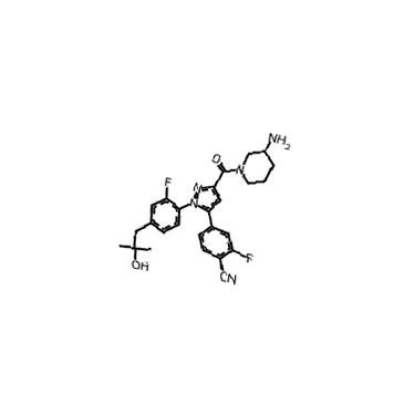 CC(C)(O)Cc1ccc(-n2nc(C(=O)N3CCCC(N)C3)cc2-c2ccc(C#N)c(F)c2)c(F)c1